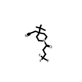 CC(C)(C)C1(CC#N)CCN(C(=O)CCC(F)(F)F)CC1